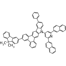 CC1(C)c2ccccc2-c2cc(-c3ccc4c(c3)c3ccccc3c3cc5c(cc43)c3cc(-c4ccccc4)ccc3n5-c3cc(-c4ccc5ccccc5c4)nc(-c4ccc5ccccc5c4)c3)ccc21